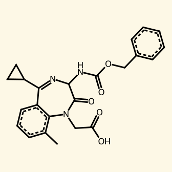 Cc1cccc2c1N(CC(=O)O)C(=O)C(NC(=O)OCc1ccccc1)N=C2C1CC1